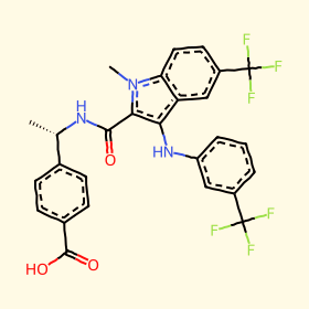 C[C@H](NC(=O)c1c(Nc2cccc(C(F)(F)F)c2)c2cc(C(F)(F)F)ccc2n1C)c1ccc(C(=O)O)cc1